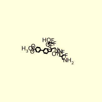 CS(=O)(=O)c1ccc(-c2ccc3cc(Cn4cnn(CC(CN)=C(F)F)c4=O)sc3c2)cc1.O=C(O)C(F)(F)F